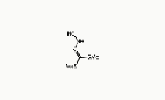 CSC(=NNC#N)SC